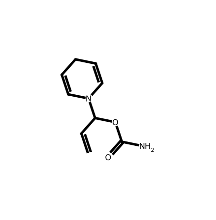 C=CC(OC(N)=O)N1C=CCC=C1